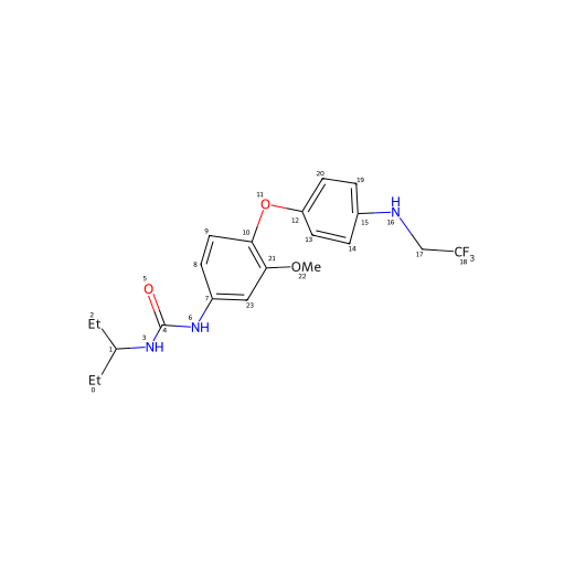 CCC(CC)NC(=O)Nc1ccc(Oc2ccc(NCC(F)(F)F)cc2)c(OC)c1